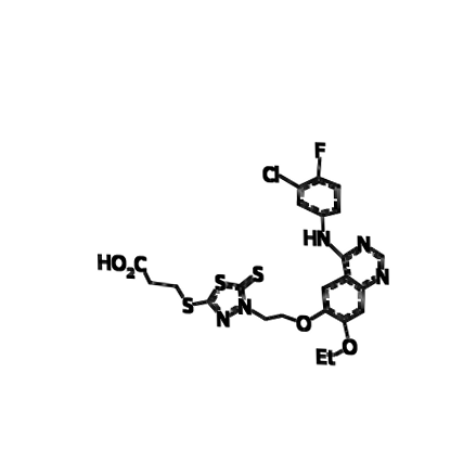 CCOc1cc2ncnc(Nc3ccc(F)c(Cl)c3)c2cc1OCCn1nc(SCCC(=O)O)sc1=S